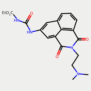 CCOC(=O)NC(=O)Nc1cc2c3c(cccc3c1)C(=O)N(CCN(C)C)C2=O